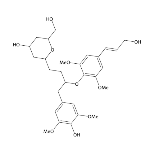 COc1cc(CC(CCC2CC(O)CC(CO)O2)Oc2c(OC)cc(/C=C/CO)cc2OC)cc(OC)c1O